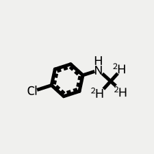 [2H]C([2H])([2H])Nc1ccc(Cl)cc1